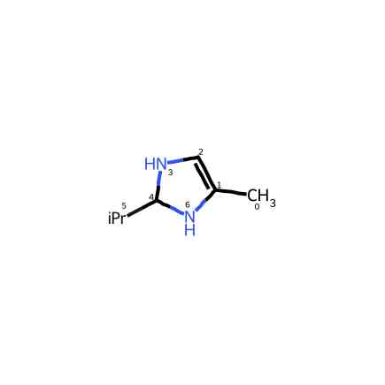 CC1=CNC(C(C)C)N1